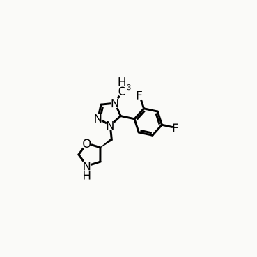 CN1C=NN(C[C@H]2CNCO2)C1c1ccc(F)cc1F